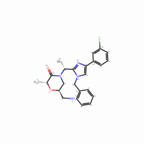 C[C@H]1O[C@H](CN)CN([C@@H](c2nc(-c3cccc(F)c3)cn2Cc2ccccc2)C(C)(C)C)C1=O